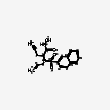 C#CCC(C(=O)NO)N(CC=C)S(=O)(=O)c1ccc2ccccc2c1